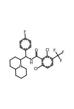 O=C(NC(c1ccc(F)cc1)C1CCCC2CCCCN21)c1c(Cl)ccc(C(F)(F)F)c1Cl